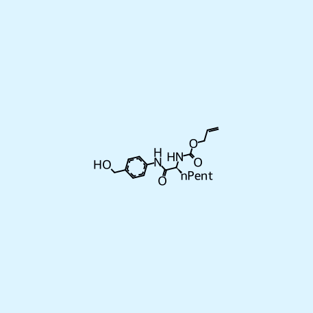 C=CCOC(=O)N[C@@H](CCCCC)C(=O)Nc1ccc(CO)cc1